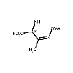 CON=C(C)[C@H](N)C(=O)O